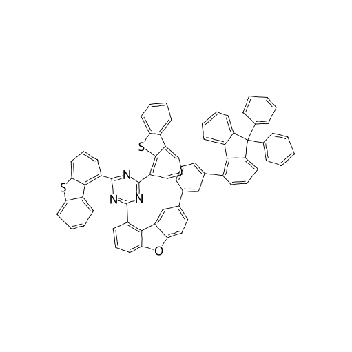 c1ccc(C2(c3ccccc3)c3ccccc3-c3c(-c4cccc(-c5ccc6oc7cccc(-c8nc(-c9cccc%10c9sc9ccccc9%10)nc(-c9cccc%10sc%11ccccc%11c9%10)n8)c7c6c5)c4)cccc32)cc1